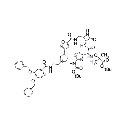 CC(C)(C)OC(=O)Nc1nc(/C(=N/OC(C)(C)C(=O)OC(C)(C)C)C(=O)NC2C(=O)NC2CNC(=O)c2cc(C3CCN(CCNC(=O)c4cc(OCc5ccccc5)c(OCc5ccccc5)cn4)C3)no2)cs1